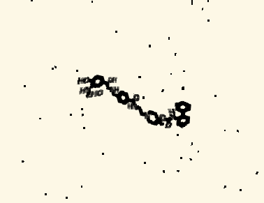 CC1(OC(=O)Nc2ccccc2-c2ccccc2)CCN(CCNC(=O)c2ccc(CNC[C@@H](O)c3ccc(O)c(NC=O)c3)cc2)CC1